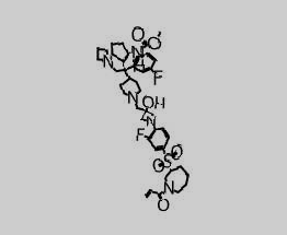 C=CC(=O)N1CCCC[C@@H](S(=O)(=O)c2ccc(N3CC(O)(CN4CCC(C(CN5CCC5)(c5cccc(F)c5)[C@H]5CCC[C@@H]5NC(=O)OC)CC4)C3)c(F)c2)C1